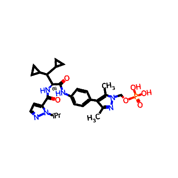 Cc1nn(COP(=O)(O)O)c(C)c1-c1ccc(NC(=O)[C@@H](NC(=O)c2ccnn2C(C)C)C(C2CC2)C2CC2)cc1